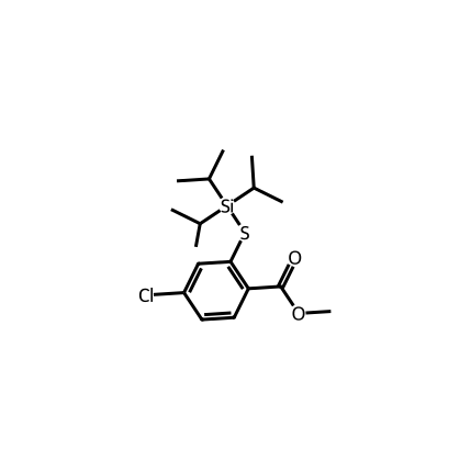 COC(=O)c1ccc(Cl)cc1S[Si](C(C)C)(C(C)C)C(C)C